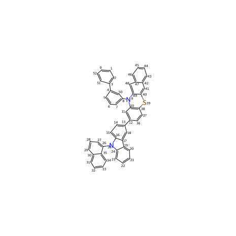 c1ccc(-c2cccc(N3c4cc(-c5ccc6c(c5)c5ccccc5n6-c5cccc6ccccc56)ccc4Sc4cc5ccccc5cc43)c2)cc1